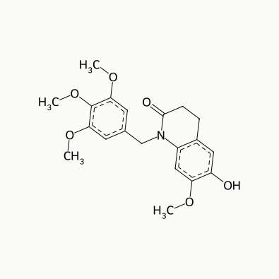 COc1cc2c(cc1O)CCC(=O)N2Cc1cc(OC)c(OC)c(OC)c1